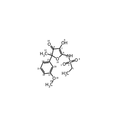 CCS(=O)(=O)NC1=C(O)C(=O)C(C)(c2cccc(OC)c2)O1